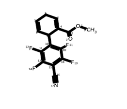 COC(=O)C1=CCC=CC1c1c(F)c(F)c(C#N)c(F)c1F